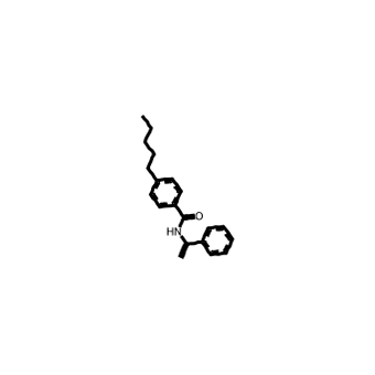 C=C(NC(=O)c1ccc(CCCCC)cc1)c1ccccc1